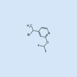 CC(Br)c1ccnc(OC(F)F)c1